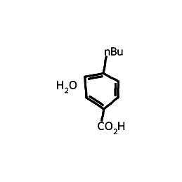 CCCCc1ccc(C(=O)O)cc1.O